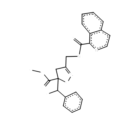 COC(=O)C1(C(C)c2ccccc2)CC(CNC(=O)c2nccc3ccccc23)=NO1